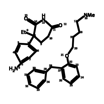 CCC1(c2ccc(N)cc2)CCC(=O)NC1=O.CNCCCCOc1ccccc1Cc1ccccc1